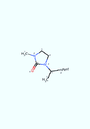 CCCCCC(C)N1CCN(C)C1=O